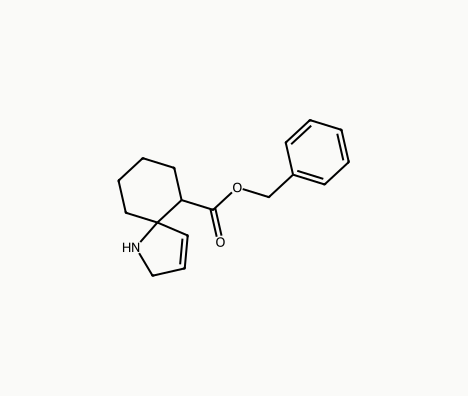 O=C(OCc1ccccc1)C1CCCCC12C=CCN2